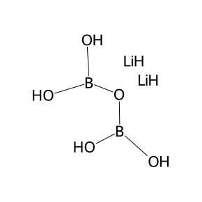 OB(O)OB(O)O.[LiH].[LiH]